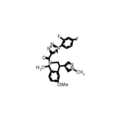 COc1ccc2c(c1)C(c1cnn(C)c1)CN(C(=O)c1nnn(-c3ccc(F)cc3F)n1)C2C